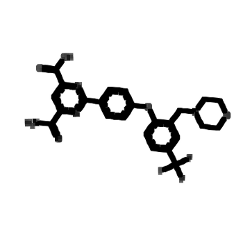 NC(=O)c1cc(C(=O)O)nc(-c2ccc(Oc3ccc(C(F)(F)F)cc3CN3CCOCC3)cc2)n1